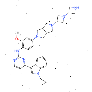 COc1cc(N2CC3CN(C4CN(C5CNC5)C4)CC3C2)ccc1Nc1nccc(-c2cn(C3CC3)c3ccccc23)n1